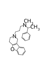 CC(c1ccccc1)N(C)CCCN1CCc2oc3ccccc3c2C1